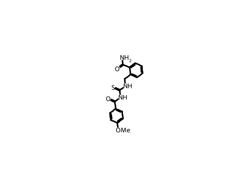 COc1ccc(C(=O)NC(=S)NCc2ccccc2C(N)=O)cc1